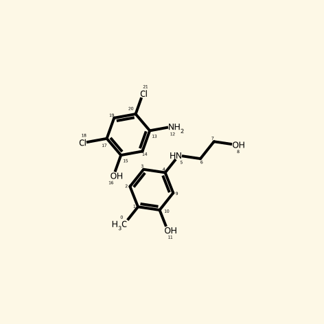 Cc1ccc(NCCO)cc1O.Nc1cc(O)c(Cl)cc1Cl